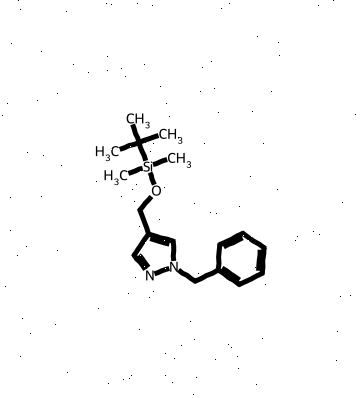 CC(C)(C)[Si](C)(C)OCc1cnn(Cc2ccccc2)c1